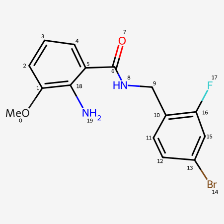 COc1cccc(C(=O)NCc2ccc(Br)cc2F)c1N